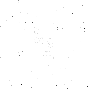 CN(C)c1cncc(-c2ccc3[nH]nc(-c4nc5c(-c6cccnc6)ccnc5[nH]4)c3c2)c1